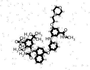 CNC(=O)c1cc(Nc2cc(Oc3ccc(N(C(N)=O)c4cc(C(C)(C)C)cc(P(C)(C)=O)c4OC)c4ccccc34)ccn2)cc(OCCN2CCOCC2)c1